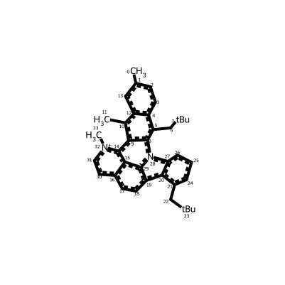 Cc1ccc2c(CC(C)(C)C)c3c(c(C)c2c1)c1c2c(ccc4c5c(CC(C)(C)C)cccc5n3c42)cc[n+]1C